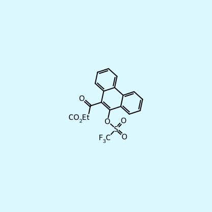 CCOC(=O)C(=O)c1c(OS(=O)(=O)C(F)(F)F)c2ccccc2c2ccccc12